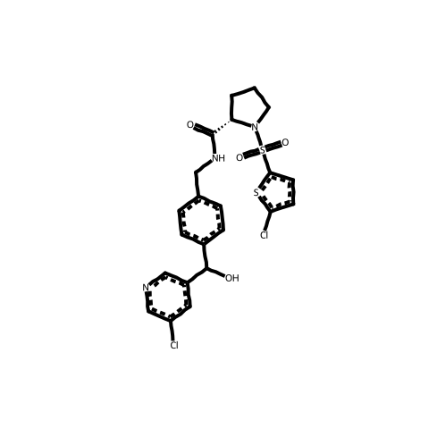 O=C(NCc1ccc(C(O)c2cncc(Cl)c2)cc1)[C@@H]1CCCN1S(=O)(=O)c1ccc(Cl)s1